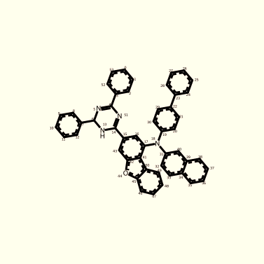 c1ccc(C2=NC(c3ccccc3)NC(c3cc(N(c4ccc(-c5ccccc5)cc4)c4ccc5ccccc5c4)c4c(c3)oc3ccccc34)=N2)cc1